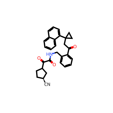 N#C[C@H]1CCC(C(=O)C(=O)NCc2ccccc2C(=O)CC2(c3cccc4ccccc34)CC2)C1